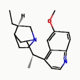 CC[C@H]1CN2CCC1CC2[C@@H](C)c1ccnc2ccc(OC)cc12